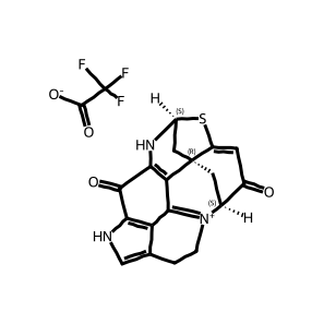 O=C([O-])C(F)(F)F.O=C1C2=C3C4=[N+](CCc5c[nH]c1c54)[C@H]1C[C@@]34C[C@@H](N2)SC4=CC1=O